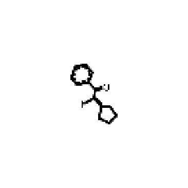 O=C(C(I)=C1CCCC1)c1ccccc1